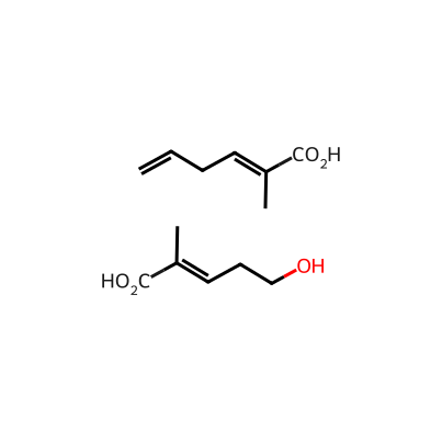 C/C(=C\CCO)C(=O)O.C=CC/C=C(\C)C(=O)O